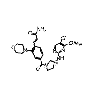 COc1nc(N[C@@H]2CCN(C(=O)c3ccc(C=CC(N)=O)c(N4CCOCC4)c3)C2)ncc1Cl